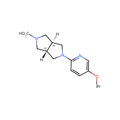 CC(C)Oc1ccc(N2C[C@@H]3CN(C(=O)O)C[C@H]3C2)nc1